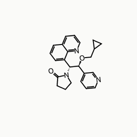 O=C1CCCN1[C@H](c1cccc2cccnc12)[C@@H](OCC1CC1)c1cccnc1